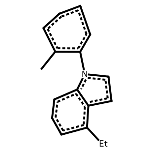 CCc1cccc2c1ccn2-c1ccccc1C